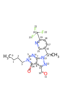 CCCCn1cnc2c(c(C=O)nn2C(C)c2ccc(C(F)(F)F)nc2)c1=O